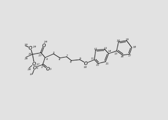 COC(=O)C(CCCCCOc1ccc(-c2ccccc2)cc1)C(=O)C(C)(OC)OC